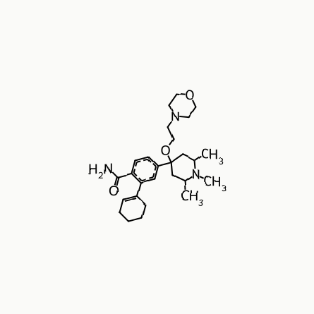 CC1CC(OCCN2CCOCC2)(c2ccc(C(N)=O)c(C3=CCCCC3)c2)CC(C)N1C